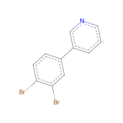 Brc1ccc(-c2c[c]cnc2)cc1Br